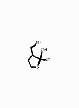 [NH]CC1CCSC1(O)O